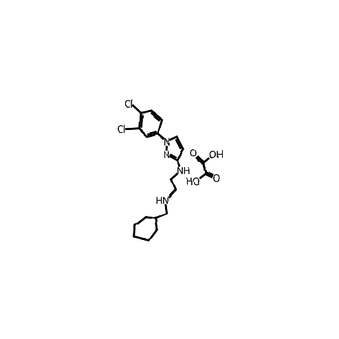 Clc1ccc(-n2ccc(NCCNCC3CCCCC3)n2)cc1Cl.O=C(O)C(=O)O